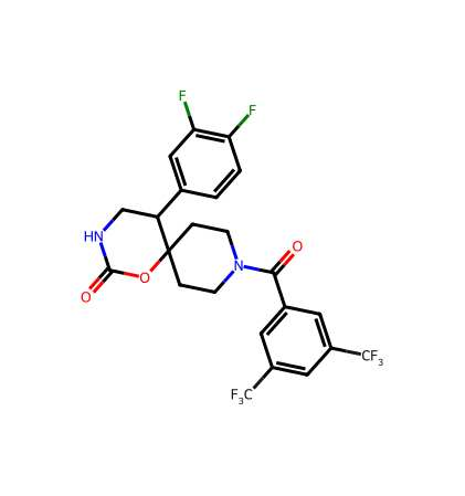 O=C1NCC(c2ccc(F)c(F)c2)C2(CCN(C(=O)c3cc(C(F)(F)F)cc(C(F)(F)F)c3)CC2)O1